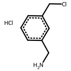 Cl.NCc1cccc(CCl)c1